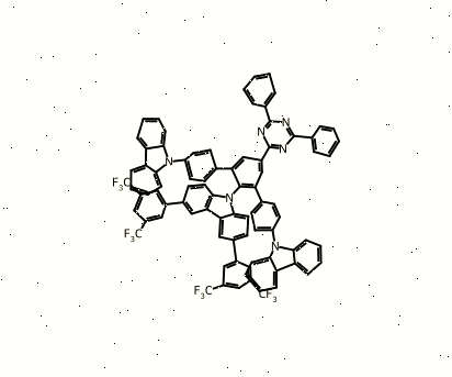 FC(F)(F)c1cc(-c2ccc3c(c2)c2cc(-c4cc(C(F)(F)F)cc(C(F)(F)F)c4)ccc2n3-c2c(-c3ccc(-n4c5ccccc5c5ccccc54)cc3)cc(-c3nc(-c4ccccc4)nc(-c4ccccc4)n3)cc2-c2ccc(-n3c4ccccc4c4ccccc43)cc2)cc(C(F)(F)F)c1